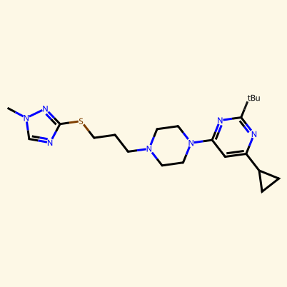 Cn1cnc(SCCCN2CCN(c3cc(C4CC4)nc(C(C)(C)C)n3)CC2)n1